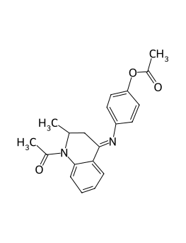 CC(=O)Oc1ccc(N=C2CC(C)N(C(C)=O)c3ccccc32)cc1